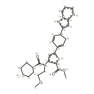 COCCN(c1cc(C2=CCC(c3cc4ncccn4n3)C=C2)sc1C(=O)OC)C(=O)[C@H]1CC[C@H](C)CC1